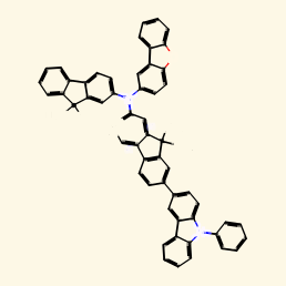 C=C(/C=C1\C(=C/C)c2ccc(-c3ccc4c(c3)c3ccccc3n4-c3ccccc3)cc2C1(C)C)N(c1ccc2c(c1)C(C)(C)c1ccccc1-2)c1ccc2oc3ccccc3c2c1